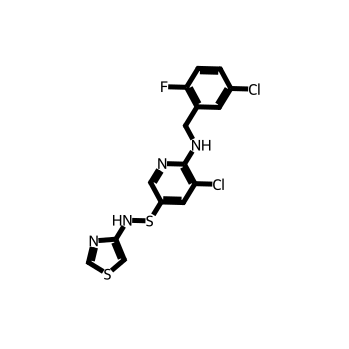 Fc1ccc(Cl)cc1CNc1ncc(SNc2cscn2)cc1Cl